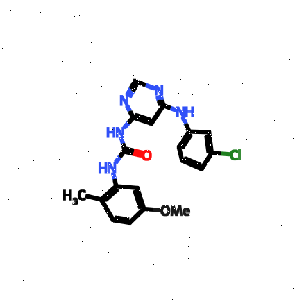 COc1ccc(C)c(NC(=O)Nc2cc(Nc3cccc(Cl)c3)ncn2)c1